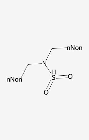 CCCCCCCCCCN(CCCCCCCCCC)[SH](=O)=O